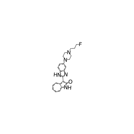 O=c1[nH]c2cccccc-2c1-c1nc2cc(N3CCN(CCCF)CC3)ccc2[nH]1